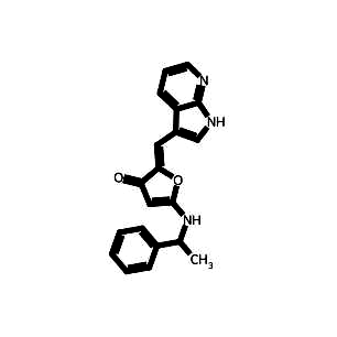 CC(NC1=CC(=O)C(=Cc2c[nH]c3ncccc23)O1)c1ccccc1